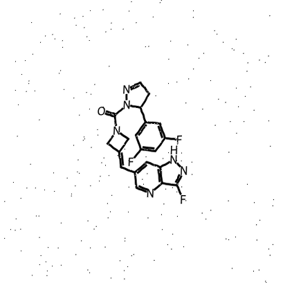 O=C(N1CC(=Cc2cnc3c(F)n[nH]c3c2)C1)N1N=CCC1c1cc(F)cc(F)c1